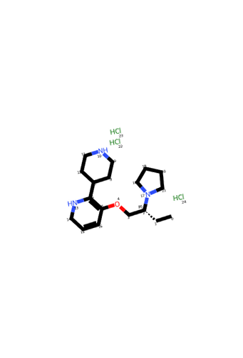 CC[C@H](COC1=C(C2CCNCC2)NCC=C1)N1CCCC1.Cl.Cl.Cl